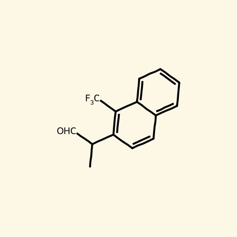 CC(C=O)c1ccc2ccccc2c1C(F)(F)F